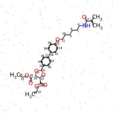 C=C(C)C(=O)NCCCCCCOc1ccc(-c2ccc(C3O[C@@H](C(=O)OCC)[C@H](C(=O)OCC)O3)cc2)cc1